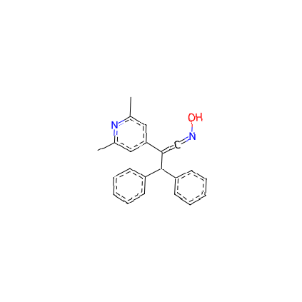 Cc1cc(C(=C=NO)C(c2ccccc2)c2ccccc2)cc(C)n1